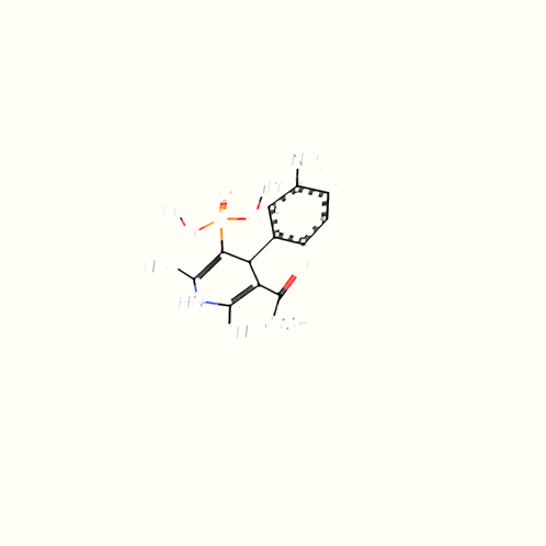 COC(=O)C1=C(C)NC(C)=C(P(=O)(OC(C)C)OC(C)C)C1c1cccc([N+](=O)[O-])c1